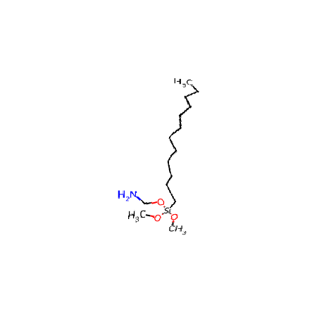 CCCCCCCCCCCC[Si](OC)(OC)OCN